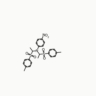 Cc1ccc(S(=O)(=O)C(C)N(c2ccc([N+](=O)[O-])cc2)C(C)S(=O)(=O)c2ccc(C)cc2)cc1